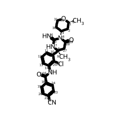 C[C@@H]1C[C@H](N2C(=N)N[C@](C)(c3cccc(NC(=O)c4ccc(C#N)cc4)c3Cl)CC2=O)CCO1